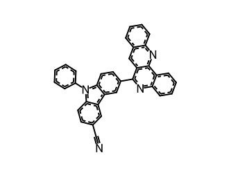 N#Cc1ccc2c(c1)c1cc(-c3nc4ccccc4c4nc5ccccc5cc34)ccc1n2-c1ccccc1